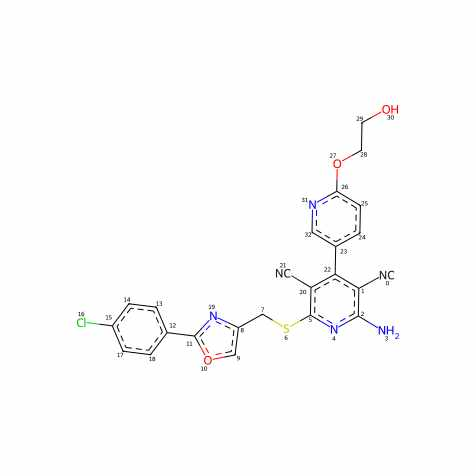 [C-]#[N+]c1c(N)nc(SCc2coc(-c3ccc(Cl)cc3)n2)c(C#N)c1-c1ccc(OCCO)nc1